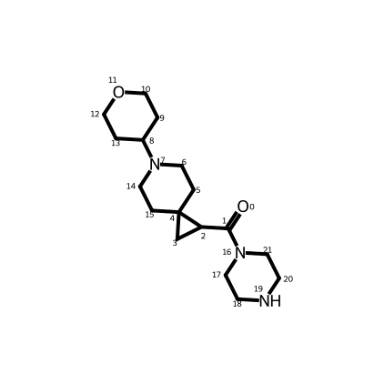 O=C(C1CC12CCN(C1CCOCC1)CC2)N1CCNCC1